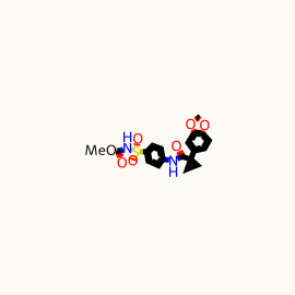 COC(=O)NS(=O)(=O)c1ccc(NC(=O)C2(c3ccc4c(c3)OCO4)CC2)cc1